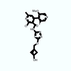 COc1cncc(F)c1-c1cc(C)nc(Cl)c1C(=O)Nc1nnc(OCC23CC(O)(C2)C3)s1